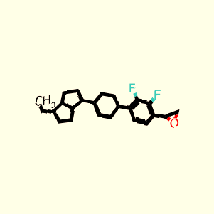 CCC1CCC2C1CCC2C1CCC(c2ccc(C3CO3)c(F)c2F)CC1